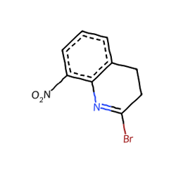 O=[N+]([O-])c1cccc2c1N=C(Br)CC2